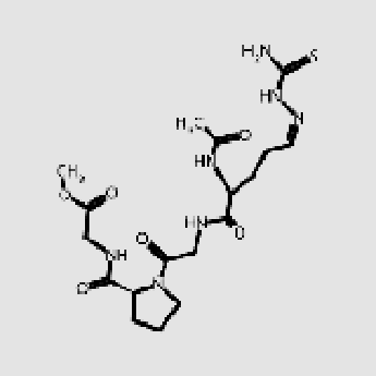 COC(=O)CNC(=O)[C@@H]1CCCN1C(=O)CNC(=O)C(CC/C=N\NC(N)=S)NC(C)=O